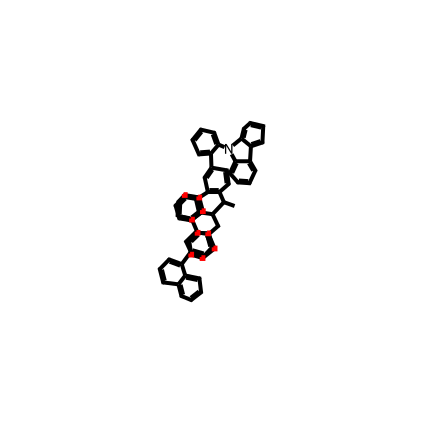 CC(c1ccc(-c2ccccc2-n2c3ccccc3c3ccccc32)cc1-c1cccc(-c2ccccc2)c1)C(Cc1ccc(-c2cccc3ccccc23)cc1)c1ccccc1